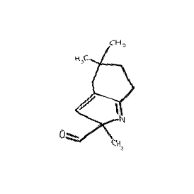 CC1(C)CCC2=NC(C)(C=O)C=C2C1